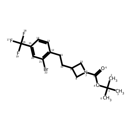 CC(C)(C)OC(=O)N1CC(CCc2ccc(C(F)(F)F)cc2Br)C1